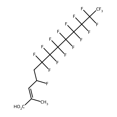 CC(=CC(F)CC(F)(F)C(F)(F)C(F)(F)C(F)(F)C(F)(F)C(F)(F)C(F)(F)C(F)(F)F)C(=O)O